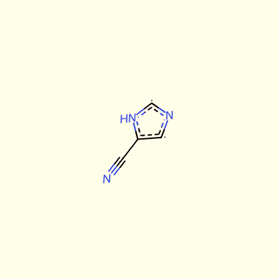 N#Cc1[c]n[c][nH]1